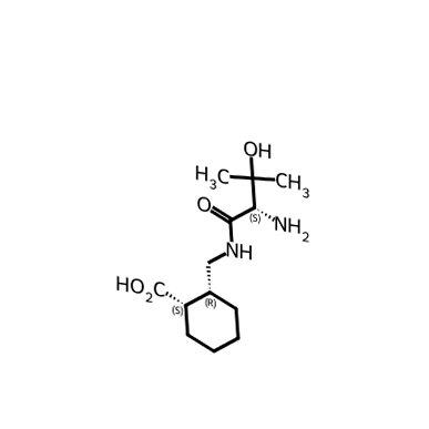 CC(C)(O)[C@H](N)C(=O)NC[C@@H]1CCCC[C@@H]1C(=O)O